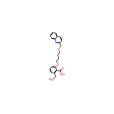 CCc1cccc(OCCCCOCc2ccc3ccccc3n2)c1C(=O)O